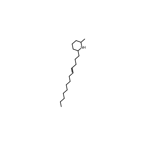 CCCCCCCC/C=C/CCCC1CCCC(C)N1